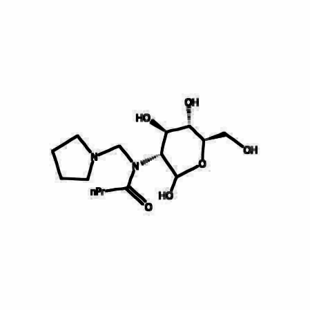 CCCC(=O)N(CN1CCCC1)[C@H]1C(O)O[C@H](CO)[C@@H](O)[C@@H]1O